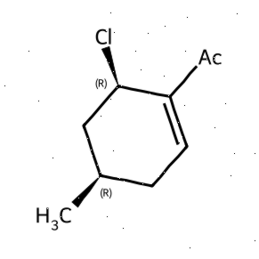 CC(=O)C1=CC[C@@H](C)C[C@H]1Cl